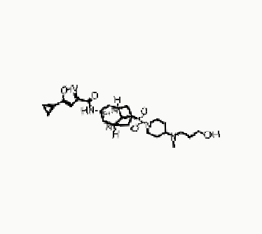 CN(CCCO)C1CCN(S(=O)(=O)C23C[C@H]4C[C@@H](NC(=O)c5cc(C6CC6)on5)C[C@@H](C2)C43)CC1